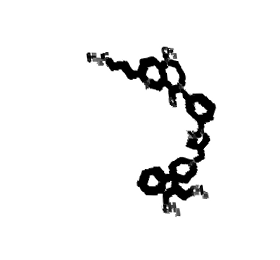 C/C=C(/CC)C1(c2ccccc2)CCN(Cc2cnn(-c3cccc(N4CCN(C)C5=C(C=NC(/C=C/CC)=C=C5)C4=O)c3)c2)CC1